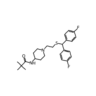 CC(C)(C)C(=O)NC1CCN(CCSC(c2ccc(F)cc2)c2ccc(F)cc2)CC1